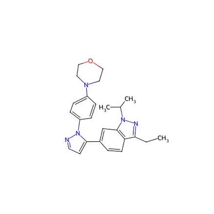 CCc1nn(C(C)C)c2cc(-c3ccnn3-c3ccc(N4CCOCC4)cc3)ccc12